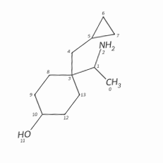 CC(N)C1(CC2CC2)CCC(O)CC1